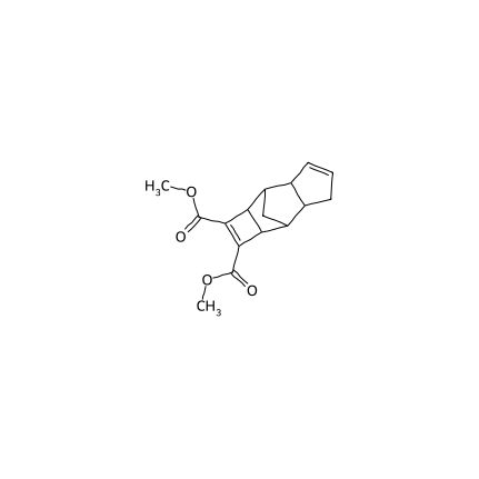 COC(=O)C1=C(C(=O)OC)C2C3CC(C4C=CCC43)C12